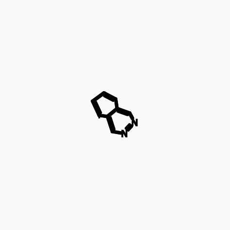 [c]1cccc2cnncc12